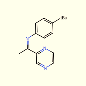 C/C(=N/c1ccc(C(C)(C)C)cc1)c1cnccn1